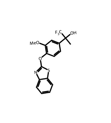 COc1cc(C(C)(O)C(F)(F)F)ccc1Oc1nc2ccccc2s1